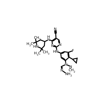 C=NN(/C=N\N)c1cc(Nc2ncc(C#N)c(NC3CC(C)(C)NC(C)(C)C3)n2)cc(F)c1C1CC1